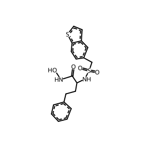 O=C(NO)C(CCc1ccccc1)NS(=O)(=O)Cc1ccc2sccc2c1